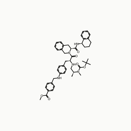 COC(=O)c1ccc(CNc2ccc(C[C@H](NC[C@H](C)N(C)C(=O)OC(C)(C)C)C(=O)N3Cc4ccccc4C[C@H]3C(=O)N[C@@H]3CCCc4ccccc43)cc2)cc1